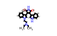 CCN(CC)CCn1cc(C2=C(c3c[nH]c4ccccc34)C(=O)NC2=O)c2c(C)cccc21